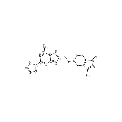 Cn1nc(C(F)(F)F)c2c1CCN(CCc1nc3cc(-c4ncco4)nc(N)n3n1)C2